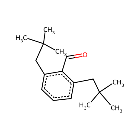 CC(C)(C)Cc1cccc(CC(C)(C)C)c1C=O